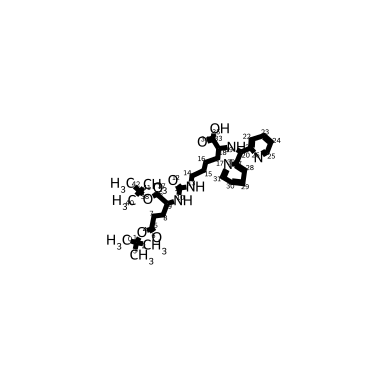 CC(C)(C)OC(=O)CCC(NC(=O)NCCCCC(NC(c1ccccn1)c1ccccn1)C(=O)O)C(=O)OC(C)(C)C